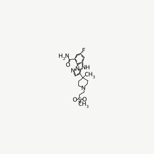 CC1(c2cnn3c2[nH]c2cc(F)cc(C(N)=O)c23)CCN(CCS(C)(=O)=O)CC1